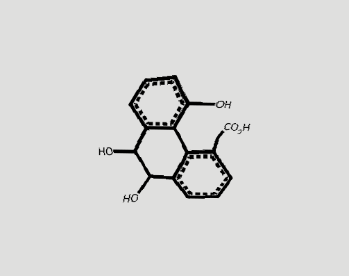 O=C(O)c1cccc2c1-c1c(O)cccc1C(O)C2O